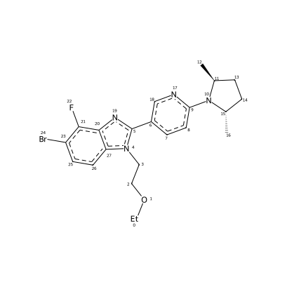 CCOCCn1c(-c2ccc(N3[C@@H](C)CC[C@@H]3C)nc2)nc2c(F)c(Br)ccc21